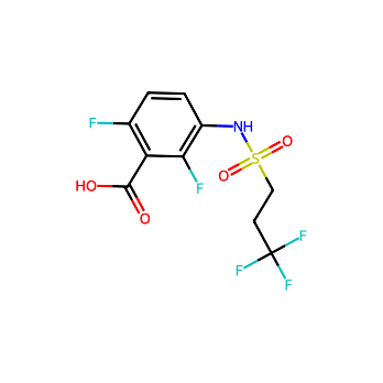 O=C(O)c1c(F)ccc(NS(=O)(=O)CCC(F)(F)F)c1F